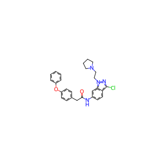 O=C(Cc1ccc(Oc2ccccc2)cc1)Nc1ccc2c(Cl)nn(CCN3CCCC3)c2c1